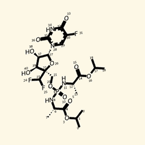 CC(C)OC(=O)[C@H](C)NP(=O)(N[C@@H](C)C(=O)OC(C)C)OC[C@@]1(C(F)F)O[C@@H](n2cc(F)c(=O)[nH]c2=O)[C@H](O)[C@@H]1O